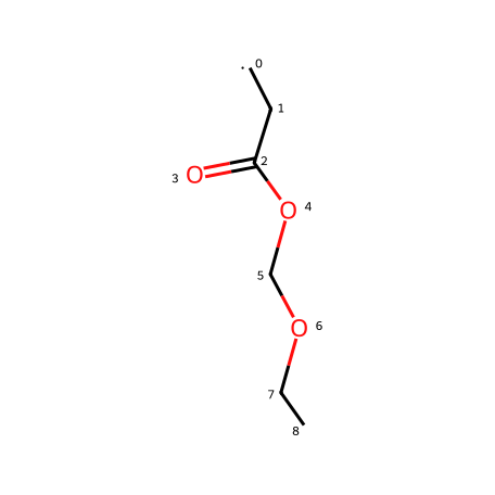 [CH2]CC(=O)OCOCC